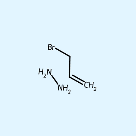 C=CCBr.NN